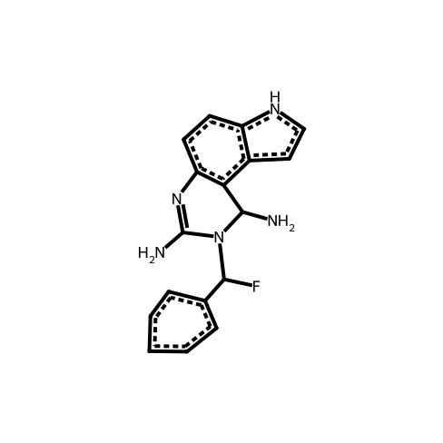 NC1=Nc2ccc3[nH]ccc3c2C(N)N1C(F)c1ccccc1